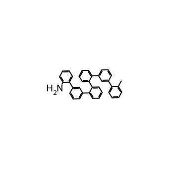 Cc1ccccc1-c1cccc(-c2ccccc2-c2ccccc2-c2cccc(-c3ccccc3N)c2)c1